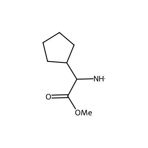 COC(=O)C([NH])C1CCCC1